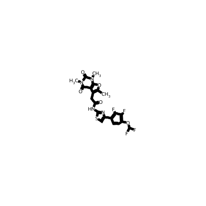 Cc1oc2c(c1CC(=O)Nc1nc(-c3ccc(OC(F)F)c(F)c3F)cs1)c(=O)n(C)c(=O)n2C